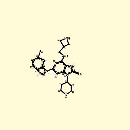 O=c1[nH]c2c(NCC3CNC3)nc(-n3cnc4ccc(F)cc43)nc2n1C1CCOCC1